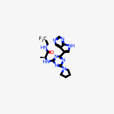 C[C@H](Nc1nc(-c2c[nH]c3ncncc23)nc(N2CCCC2)n1)C(=O)NCC(F)(F)F